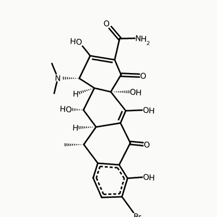 C[C@H]1c2ccc(Br)c(O)c2C(=O)C2=C(O)[C@]3(O)C(=O)C(C(N)=O)=C(O)[C@@H](N(C)C)[C@@H]3[C@@H](O)[C@@H]21